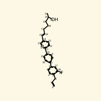 C=CCc1ccc(-c2ccc(-c3ccc(C=CCCCC(C)O)cn3)cc2)cc1F